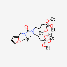 CCO[Si](CCCN(CCC[Si](OCC)(OCC)OCC)C(=O)N(Cc1ccco1)[Si](C)(C)C)(OCC)OCC